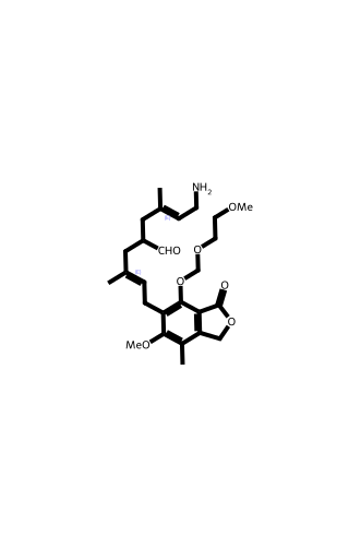 COCCOCOc1c(C/C=C(\C)CC(C=O)C/C(C)=C/CN)c(OC)c(C)c2c1C(=O)OC2